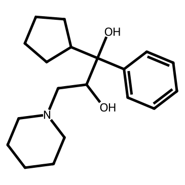 OC(CN1CCCCC1)C(O)(c1ccccc1)C1CCCC1